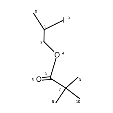 CC(I)COC(=O)C(C)(C)C